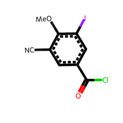 COc1c(I)cc(C(=O)Cl)cc1C#N